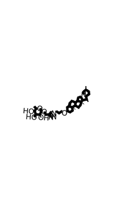 CC1O[C@@H](OCc2cn(CCCO[C@H]3CC[C@@]4(C)C(=CCC5C6CC7C([C@H](C)C8CC[C@H](C)CN78)[C@@]6(C)CCC54)C3)nn2)[C@@H](O)C(O)[C@H]1O